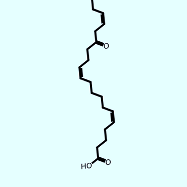 CC/C=C\CC(=O)CC/C=C\CCCC/C=C\CCCC(=O)O